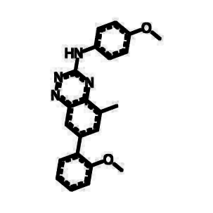 COc1ccc(Nc2nnc3cc(-c4ccccc4OC)cc(C)c3n2)cc1